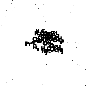 CC(C)CCC(C)(C)c1ccc(N2c3cccc4c3B(c3cc5c(cc3N4c3ccc4c(c3)C(C)(C)CCC4(C)C)C(C)(C)CCC5(C)C)c3c2oc2c3C(C)(C)CCC2(C)C)cc1